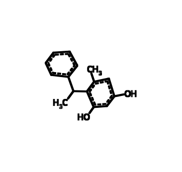 Cc1cc(O)cc(O)c1C(C)c1ccccc1